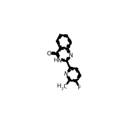 Cc1nc(-c2nc3ccccc3c(=O)[nH]2)ccc1F